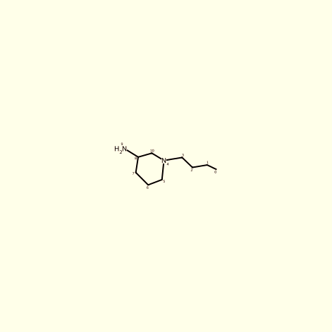 CCCCN1CCCC(N)C1